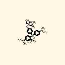 CC[Si](CC)(CC)Oc1ccc(S(OS(C)(=O)=O)(c2ccc(N(C)C)cc2)c2ccc(N(C)C)cc2)cc1